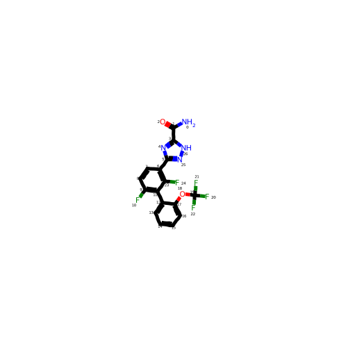 NC(=O)c1nc(-c2ccc(F)c(-c3ccccc3OC(F)(F)F)c2F)n[nH]1